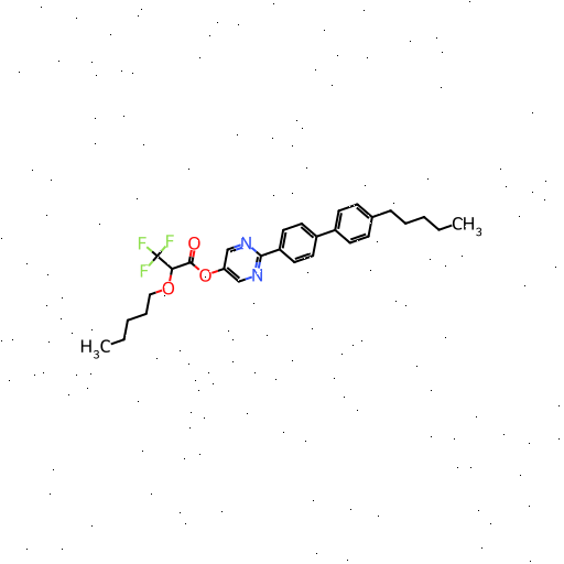 CCCCCOC(C(=O)Oc1cnc(-c2ccc(-c3ccc(CCCCC)cc3)cc2)nc1)C(F)(F)F